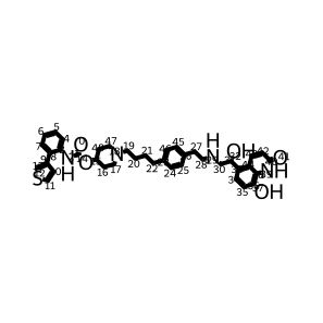 O=C(Nc1ccccc1-c1ccsc1)OC1CCN(CCCCc2ccc(CCNC[C@H](O)c3ccc(O)c4[nH]c(=O)ccc34)cc2)CC1